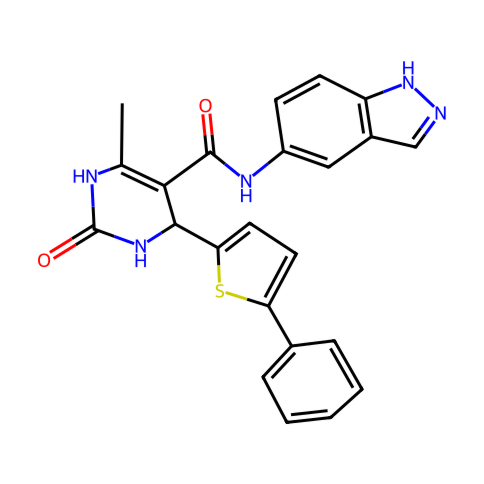 CC1=C(C(=O)Nc2ccc3[nH]ncc3c2)C(c2ccc(-c3ccccc3)s2)NC(=O)N1